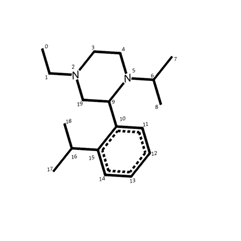 CCN1CCN(C(C)C)C(c2ccccc2C(C)C)C1